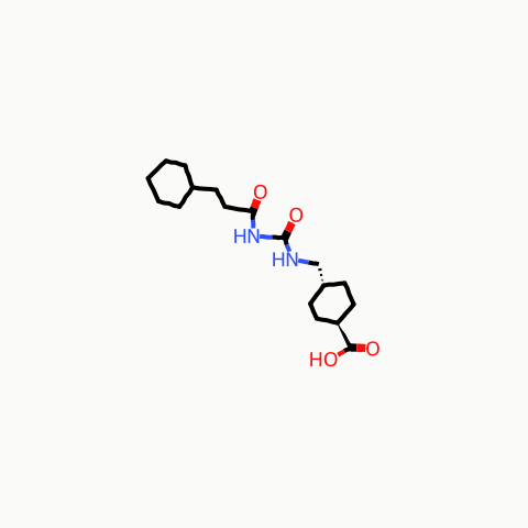 O=C(CCC1CCCCC1)NC(=O)NC[C@H]1CC[C@H](C(=O)O)CC1